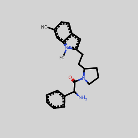 CCn1c(CCC2CCCN2C(=O)C(N)c2ccccc2)cc2ccc(C#N)cc21